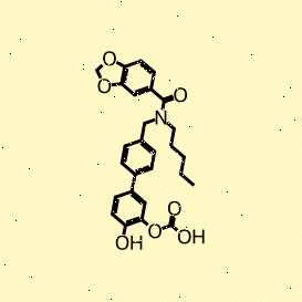 CCCCCN(Cc1ccc(-c2ccc(O)c(OC(=O)O)c2)cc1)C(=O)c1ccc2c(c1)OCO2